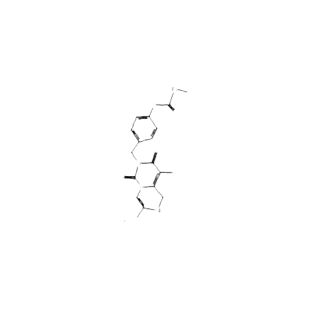 CCNC(=O)Nc1ccc(Cn2c(=O)c(C)c3n(c2=O)C=C(C(=O)O)NC3)cc1